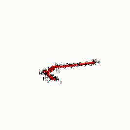 Cc1cc(C)c(CNC(=O)c2cc(-c3ccc(N4CCN(CCC(=O)NCCOCCOCCOCCOCCOCCOCCOCCOCCOCCOCCC(=O)OC(C)(C)C)CC4)nc3)cc(NC(C)C)c2C=N)c(=O)[nH]1